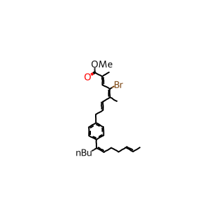 C/C=C/CC/C=C(/CCCC)c1ccc(C/C=C/C(C)=C(Br)\C=C(/C)C(=O)OC)cc1